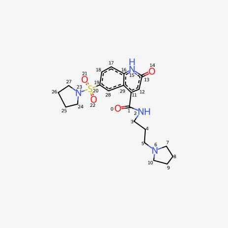 O=C(NCCCN1CCCC1)c1cc(=O)[nH]c2ccc(S(=O)(=O)N3CCCC3)cc12